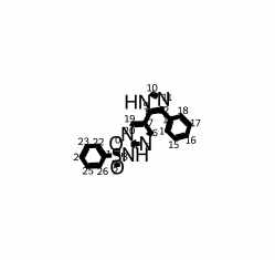 O=S(=O)(Nc1ncc(-c2[nH]cnc2-c2ccccc2)cn1)c1ccccc1